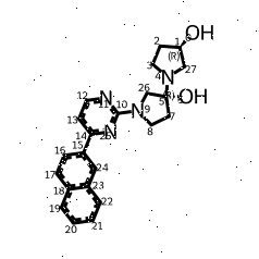 O[C@@H]1CCN([C@@]2(O)CCN(c3nccc(-c4ccc5ccccc5c4)n3)C2)C1